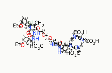 CCOc1cccc([C@H](CC(=O)O)NC(=O)Nc2c(OCCOCCOCCNC(=O)Nc3ccc(CC4CN(CC(=O)O)CCN(CC(=O)O)CCN(CC(=O)O)CCN4CC(=O)O)cc3)c(C)cn(Cc3c(Cl)cccc3OCC)c2=O)c1